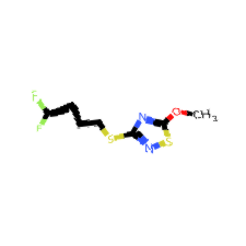 COc1nc(SCCC=C(F)F)ns1